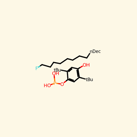 CC(C)(C)c1cc(OP(O)O)c(C(C)(C)C)cc1O.CCCCCCCCCCCCCCCCCCF